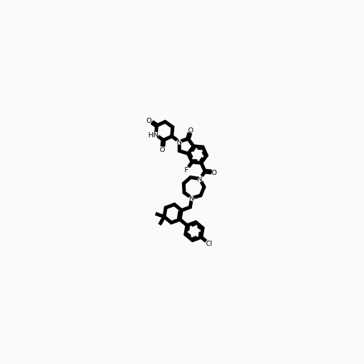 CC1(C)CCC(CN2CCCN(C(=O)c3ccc4c(c3F)CN(C3CCC(=O)NC3=O)C4=O)CC2)=C(c2ccc(Cl)cc2)C1